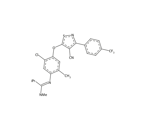 CNC(=Nc1cc(Cl)c(Oc2snc(-c3ccc(C(F)(F)F)cc3)c2C#N)cc1C)C(C)C